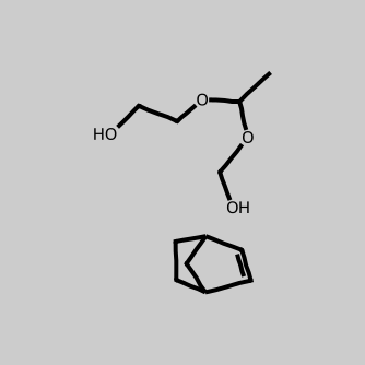 C1=CC2CCC1C2.CC(OCO)OCCO